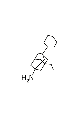 CCC12CC3CC(N)(C1)CC(C1CCCCC1)(C3)C2